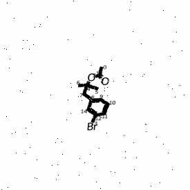 CC(=O)OC(C)(C)Cc1cccc(Br)c1